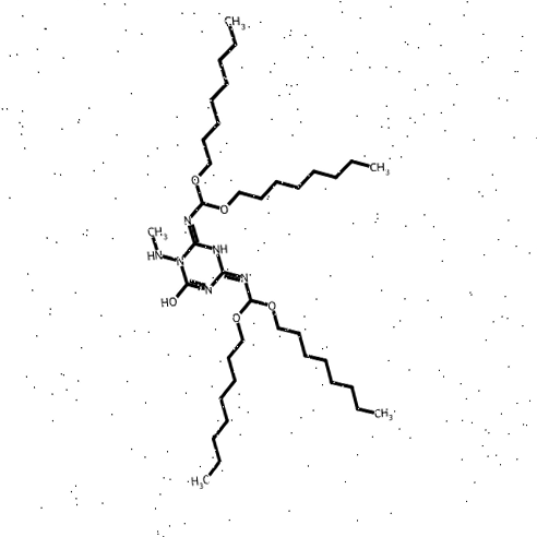 CCCCCCCCOC(N=c1nc(O)n(NC)c(=NC(OCCCCCCCC)OCCCCCCCC)[nH]1)OCCCCCCCC